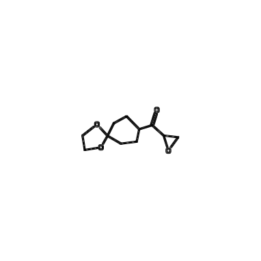 O=C(C1CCC2(CC1)OCCO2)C1CO1